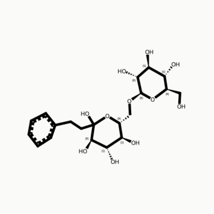 OC[C@H]1O[C@@H](OC[C@H]2OC(O)(CCc3ccccc3)[C@H](O)[C@@H](O)[C@@H]2O)[C@H](O)[C@@H](O)[C@@H]1O